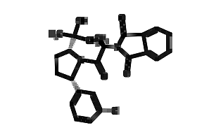 C[C@H](C(=O)N1[C@H](c2cccc(Cl)c2)CC[C@@H]1C(C)(C)O)N1C(=O)c2ccccc2C1=O